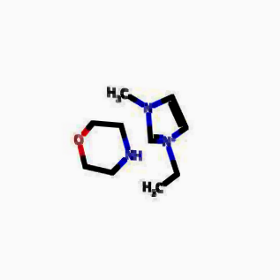 C1COCCN1.CC[n+]1ccn(C)c1